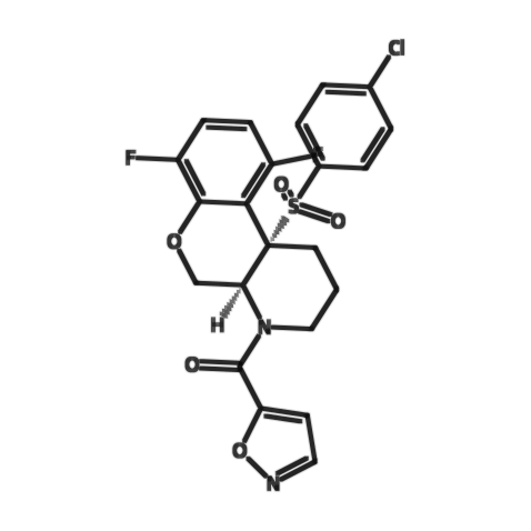 O=C(c1ccno1)N1CCC[C@]2(S(=O)(=O)c3ccc(Cl)cc3)c3c(F)ccc(F)c3OC[C@H]12